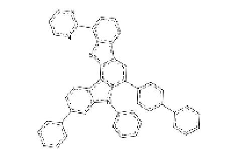 c1ccc(-c2ccc(-c3cc4c5cccc(-c6ncccn6)c5sc4c4c5ccc(-c6ccccc6)cc5n(-c5ccccc5)c34)cc2)cc1